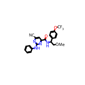 COCC(NC(=O)c1cc(C#N)nc(Nc2ccccc2)n1)c1ccc(OC(F)(F)F)cc1